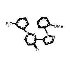 COc1ccccc1-n1nccc1-c1nn(-c2cccc(C(F)(F)F)c2)ccc1=O